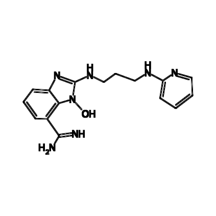 N=C(N)c1cccc2nc(NCCCNc3ccccn3)n(O)c12